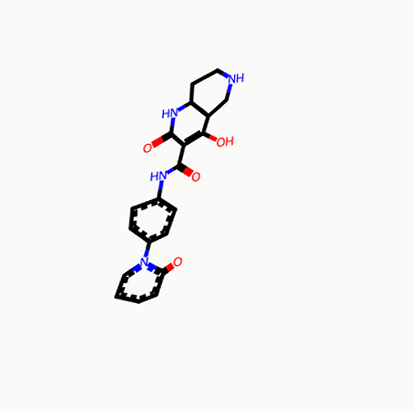 O=C(Nc1ccc(-n2ccccc2=O)cc1)C1=C(O)C2CNCCC2NC1=O